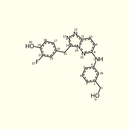 OCc1cccc(Nc2ccc3nnc(Cc4ccc(O)c(F)c4)n3n2)c1